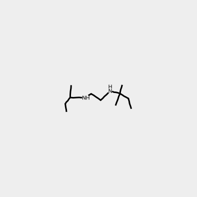 CCC(C)NCCNC(C)(C)CC